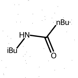 CCC[CH]C(=O)NC(C)CC